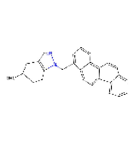 O=CC1CCc2c(cnn2Cc2cccc3c2ccc2c4ccccc4ccc32)C1